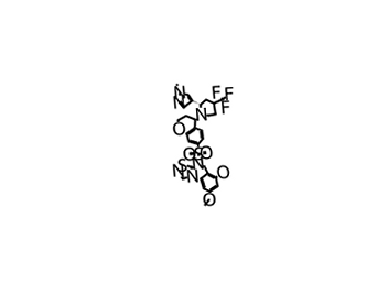 COc1ccc(CN(c2ncns2)S(=O)(=O)c2ccc3c(c2)OCC[C@@H]3N2CCC(C(F)(F)F)C[C@H]2c2cnn(C)c2)c(OC)c1